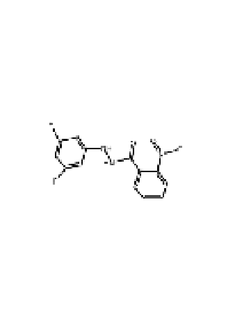 O=C(NNc1cc(F)cc(F)c1)c1ccccc1[N+](=O)[O-]